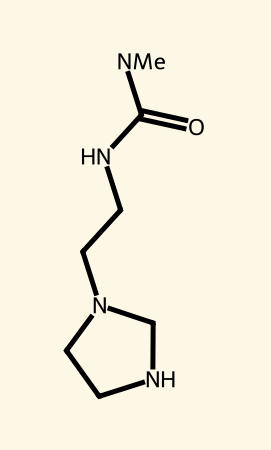 CNC(=O)NCCN1CCNC1